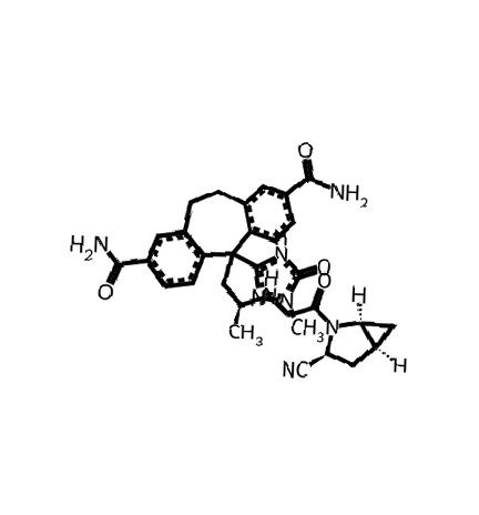 C[C@@H](CC1(c2nn(C)c(=O)[nH]2)c2ccc(C(N)=O)cc2CCc2cc(C(N)=O)ccc21)NCC(=O)N1[C@H](C#N)C[C@@H]2C[C@@H]21